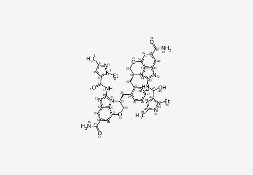 CCn1nc(C)cc1C(=O)Nc1nc2cc(C(N)=O)cc3c2n1[C@@H](Cc1ccccc1C[C@H]1COc2cc(C(N)=O)cc4nc(NC(O)c5cc(C)nn5CC)n1c24)CO3